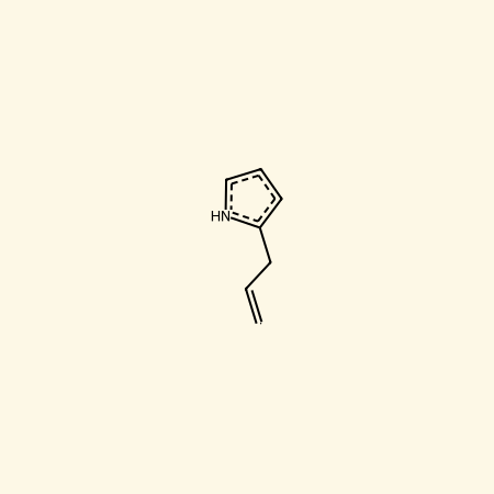 [CH]=CCc1ccc[nH]1